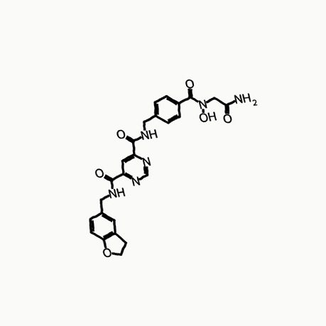 NC(=O)CN(O)C(=O)c1ccc(CNC(=O)c2cc(C(=O)NCc3ccc4c(c3)CCO4)ncn2)cc1